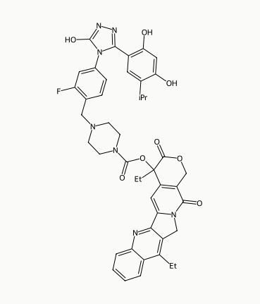 CCc1c2c(nc3ccccc13)-c1cc3c(c(=O)n1C2)COC(=O)C3(CC)OC(=O)N1CCN(Cc2ccc(-n3c(O)nnc3-c3cc(C(C)C)c(O)cc3O)cc2F)CC1